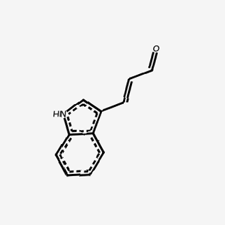 O=CC=Cc1c[nH]c2ccccc12